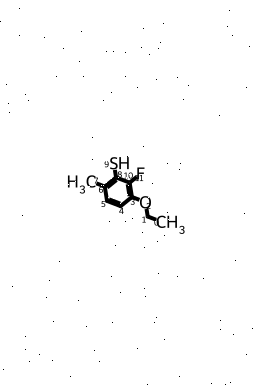 CCOc1ccc(C)c(S)c1F